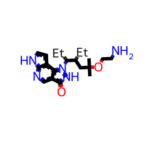 CCC(CC(C)(C)OCCN)C(CC)n1[nH]c(=O)c2cnc3[nH]ccc3c21